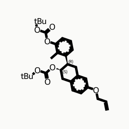 C=CCOc1ccc2c(c1)C[C@H](c1cccc(OC(=O)OC(C)(C)C)c1C)[C@@H](OC(=O)OC(C)(C)C)C2